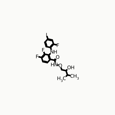 CC(C)C(O)CONC(=O)c1ccc(F)c(F)c1Nc1ccc(I)cc1F